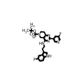 CC(C)(C)OC(=O)N1CCc2nc(-c3cncc(F)c3)nc(NCCc3c[nH]c4ccc(F)cc34)c2C1